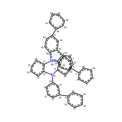 c1ccc(-c2cccc(N(c3cccc(-c4ccccc4)c3)c3ccccc3-n3c4ccccc4c4cc(-c5ccccc5)ccc43)c2)cc1